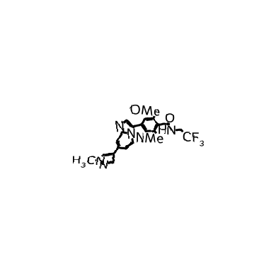 CNc1cc(-c2cnc3cc(-c4cnn(C)c4)ccn23)cc(OC)c1C(=O)NCC(F)(F)F